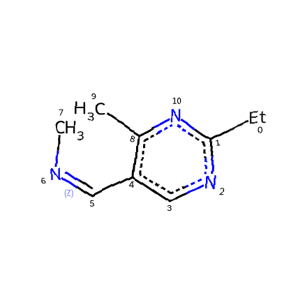 CCc1ncc(/C=N\C)c(C)n1